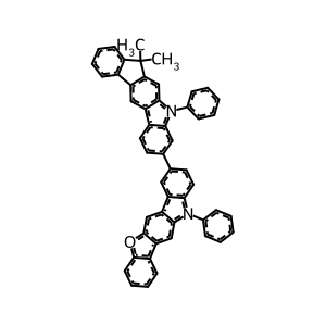 CC1(C)c2ccccc2-c2cc3c4ccc(-c5ccc6c(c5)c5cc7oc8ccccc8c7cc5n6-c5ccccc5)cc4n(-c4ccccc4)c3cc21